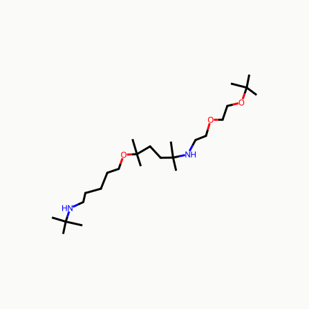 CC(C)(C)NCCCCCOC(C)(C)CCC(C)(C)NCCOCCOC(C)(C)C